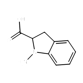 NN1c2ccccc2CC1C(=O)O